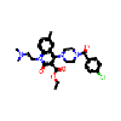 CCOC(=O)c1c(N2CCN(C(=O)c3ccc(Cl)cc3)CC2)c2cc(C)ccc2n(CCN(C)C)c1=O